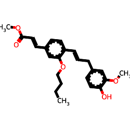 CCCCOc1cc(/C=C/C(=O)OC)ccc1/C=C/Cc1ccc(O)c(OC)c1